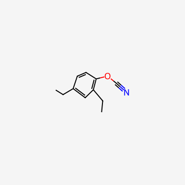 CCc1ccc(OC#N)c(CC)c1